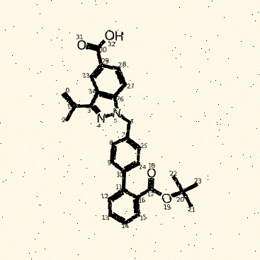 C=C(C)c1nn(Cc2ccc(-c3ccccc3C(=O)OC(C)(C)C)cc2)c2ccc(C(=O)O)cc12